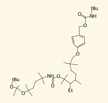 CCC(C(C)CCC(C)(C)COc1ccc(COC(=O)NC(C)(C)C)cc1)C(C)(C)OC(=O)NC(C)(C)CCC(C)(C)OC(C)(C)OC(C)(C)C